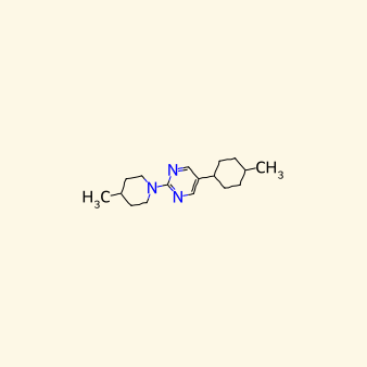 CC1CCC(c2cnc(N3CCC(C)CC3)nc2)CC1